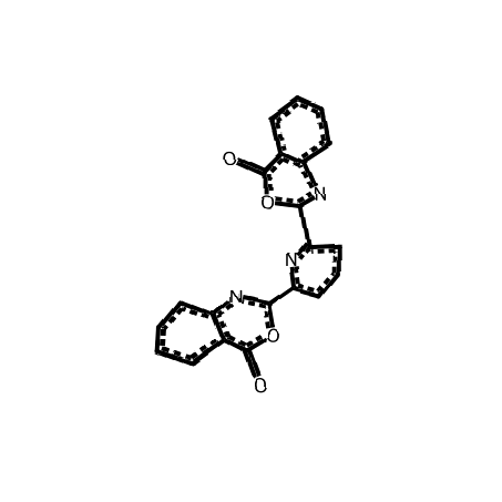 O=c1oc(-c2cccc(-c3nc4ccccc4c(=O)o3)n2)nc2ccccc12